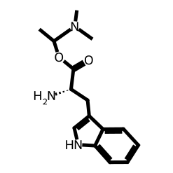 CC(OC(=O)[C@@H](N)Cc1c[nH]c2ccccc12)N(C)C